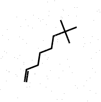 C=CCCCCC(C)(C)C